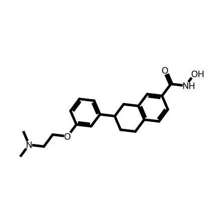 CN(C)CCOc1cccc(C2CCc3ccc(C(=O)NO)cc3C2)c1